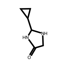 O=C1CNC(C2CC2)N1